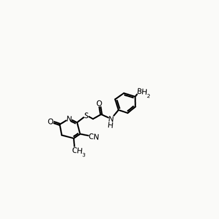 Bc1ccc(NC(=O)CSC2=NC(=O)CC(C)=C2C#N)cc1